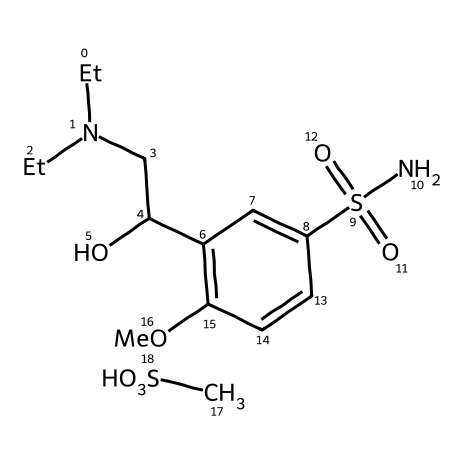 CCN(CC)CC(O)c1cc(S(N)(=O)=O)ccc1OC.CS(=O)(=O)O